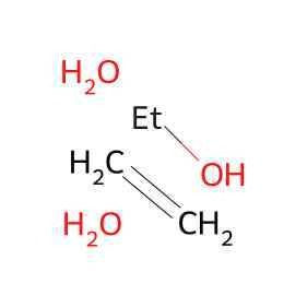 C=C.CCO.O.O